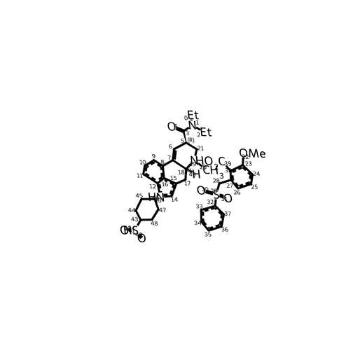 CCN(CC)C(=O)[C@@H]1C=C2c3cccc4[nH]cc(c34)C[C@H]2N(C)C1.COc1cccc(CS(=O)(=O)c2ccccc2)c1C(=O)O.O=[SH](=O)C1CCCCC1